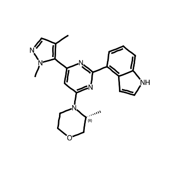 Cc1cnn(C)c1-c1cc(N2CCOC[C@H]2C)nc(-c2cccc3[nH]ccc23)n1